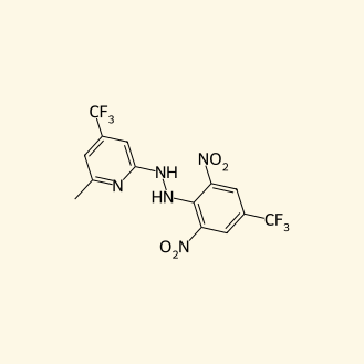 Cc1cc(C(F)(F)F)cc(NNc2c([N+](=O)[O-])cc(C(F)(F)F)cc2[N+](=O)[O-])n1